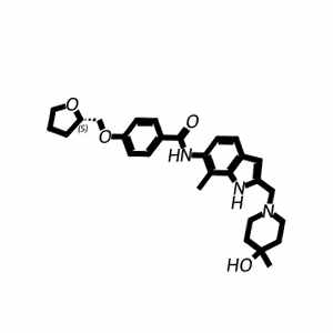 Cc1c(NC(=O)c2ccc(OC[C@@H]3CCCO3)cc2)ccc2cc(CN3CCC(C)(O)CC3)[nH]c12